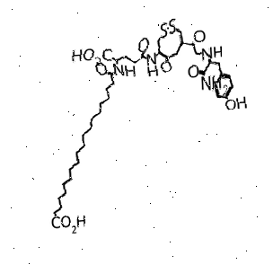 NC(=O)[C@H](Cc1ccc(O)cc1)NCC(=O)[C@@H]1CSSC[C@H](NC(=O)CCC(NC(=O)CCCCCCCCCCCCCCCCCCC(=O)O)C(=O)O)C(=O)C1